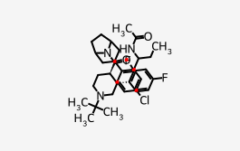 CCC(NC(C)=O)c1cc(Cl)ccc1C1CC2CCC(C1)N2C(=O)[C@@H]1CCN(C(C)(C)C)C[C@H]1c1ccc(F)cc1F